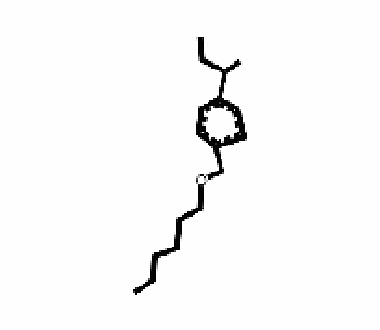 CCCCCCOCc1ccc(C(C)CC)cc1